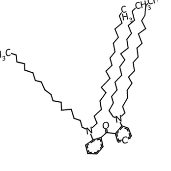 CCCCCCCCCCCCCCCCCN(CCCCCCCCCCCCCCCCC)c1ccccc1C(=O)c1ccccc1N(CCCCCCCCCCCCCCCCC)CCCCCCCCCCCCCCCCC